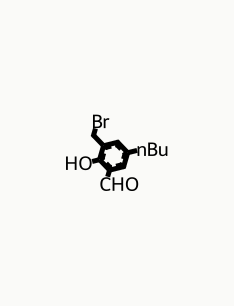 CCCCc1cc(C=O)c(O)c(CBr)c1